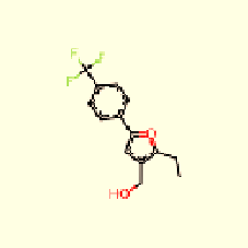 CCc1oc(-c2ccc(C(F)(F)F)cc2)cc1CO